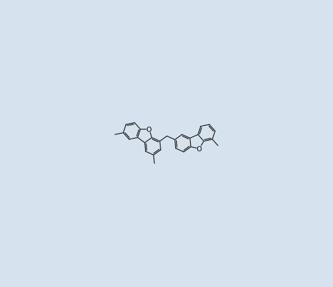 Cc1ccc2oc3c(Cc4ccc5oc6c(C)cccc6c5c4)cc(C)cc3c2c1